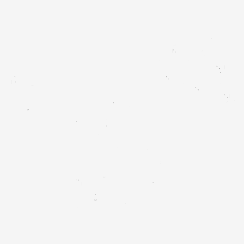 C=C1OC(COP(=O)(COCCn2cnc3c(=O)[nH]c(N)nc32)OCc2ccc(C)cc2)=C(C2CCC(F)(F)C2)O1